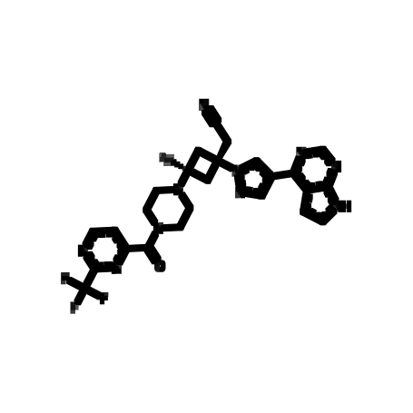 [2H][C@]1(N2CCN(C(=O)c3ccnc(C(F)(F)F)n3)CC2)C[C@](CC#N)(n2cc(-c3ncnc4[nH]ccc34)cn2)C1